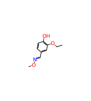 CCOc1cc(/C=N/OC)ccc1O